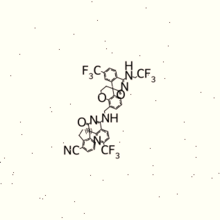 N#Cc1cccc2c1CC[C@@]21C(=O)N=C(NCc2cccc3c2OCCC32C(=O)N=C(NCC(F)(F)F)c3ccc(C(F)(F)F)cc32)c2ccc(C(F)(F)F)nc21